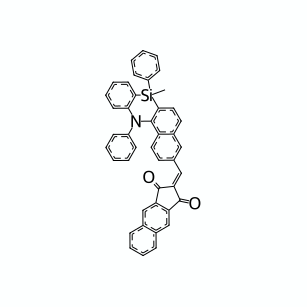 C[Si]1(c2ccccc2)c2ccccc2N(c2ccccc2)c2c1ccc1cc(C=C3C(=O)c4cc5ccccc5cc4C3=O)ccc21